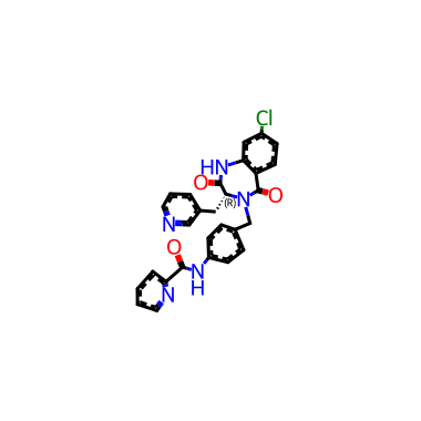 O=C(Nc1ccc(CN2C(=O)c3ccc(Cl)cc3NC(=O)[C@H]2Cc2cccnc2)cc1)c1ccccn1